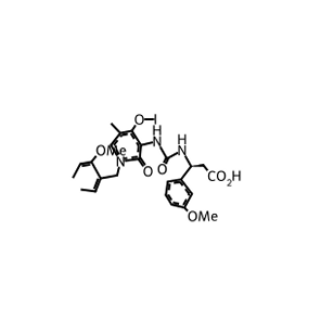 C/C=C(Cn1cc(C)c(OI)c(NC(=O)N[C@@H](CC(=O)O)c2cccc(OC)c2)c1=O)\C(=C/C)OC